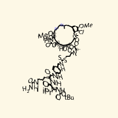 COc1cc2cc(c1Cl)N(C)C(=O)C[C@H](OC(=O)[C@H](C)N(C)C(=O)CCSC(=S)NCc1ccc(NC(=O)[C@H](CCCNC(N)=O)NC(=O)[C@@H](NC(=O)OC(C)(C)C)C(C)C)cc1)[C@]1(C)O[C@H]1[C@H](C)[C@@H]1C[C@@](O)(NC(=O)O1)[C@H](OC)/C=C/C=C(\C)C2